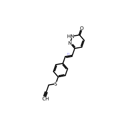 C#CCSc1ccc(/C=C/c2ccc(=O)[nH]n2)cc1